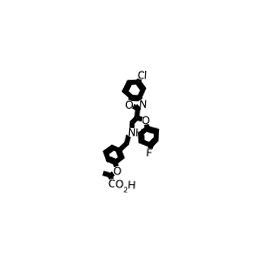 CC(Oc1cccc(CCNCC(Oc2ccc(F)cc2)c2nc3cc(Cl)ccc3o2)c1)C(=O)O